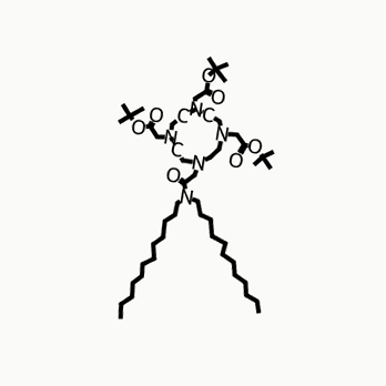 CCCCCCCCCCCCN(CCCCCCCCCCCC)C(=O)CN1CCN(CC(=O)OC(C)(C)C)CCN(CC(=O)OC(C)(C)C)CCN(CC(=O)OC(C)(C)C)CC1